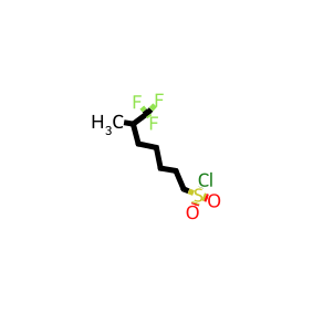 CC(CCCCCS(=O)(=O)Cl)C(F)(F)F